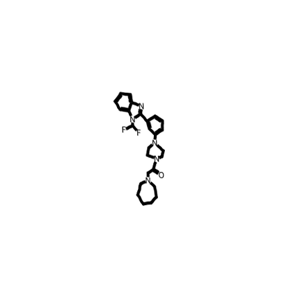 O=C(CN1CCCCCC1)N1CCN(c2cccc(-c3nc4ccccc4n3C(F)F)c2)CC1